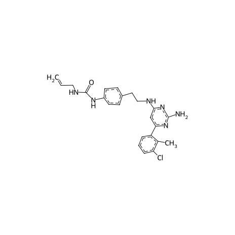 C=CCNC(=O)Nc1ccc(CCNc2cc(-c3cccc(Cl)c3C)nc(N)n2)cc1